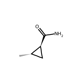 C[C@H]1C[C@@H]1C(N)=O